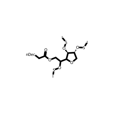 CCCCCCCCCCCC(=O)OCC(OSI)C1OC[C@@H](OSI)[C@@H]1OSI